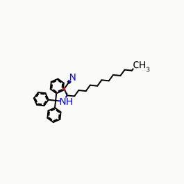 CCCCCCCCCCCC[C](CC#N)NC(c1ccccc1)(c1ccccc1)c1ccccc1